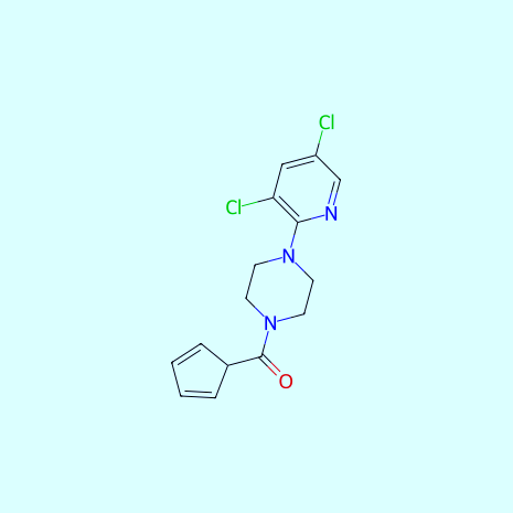 O=C(C1C=CC=C1)N1CCN(c2ncc(Cl)cc2Cl)CC1